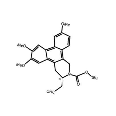 COc1ccc2c3c(c4cc(OC)c(OC)cc4c2c1)C[C@@H](CC=O)N(C(=O)OC(C)(C)C)C3